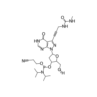 [2H]OCC1OC(n2nc(C#CCNC(=O)NC)c3c(=O)[nH]cnc32)CC1OP(OCCC#N)N(C(C)C)C(C)C